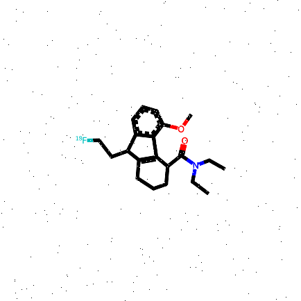 CCN(CC)C(=O)C1CCCC2=C1c1c(OC)cccc1C2CC[18F]